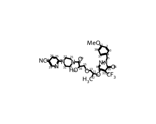 COc1ccc(Cn2ncc(OC(C)COCC(O)C(=O)N3CCN(c4ccc(C#N)cn4)CC3)c(C(F)(F)F)c2=O)cc1